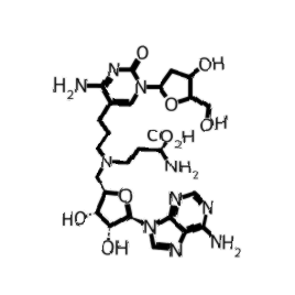 Nc1nc(=O)n(C2CC(O)C(CO)O2)cc1CCCN(CC[C@H](N)C(=O)O)C[C@H]1O[C@@H](n2cnc3c(N)ncnc32)[C@H](O)[C@@H]1O